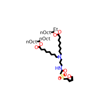 CCCCCCCCC(CC)OC(=O)CCCCCCCN(CCCCCCCC(=O)OC(CCCCCCCC)CCCCCCCC)CCCNC(=O)CS(=O)(=O)Cc1ccco1